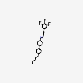 CCCCCc1ccc([C@H]2CC[C@H](/C=C/C#Cc3cc(F)c(F)c(F)c3)CC2)cc1